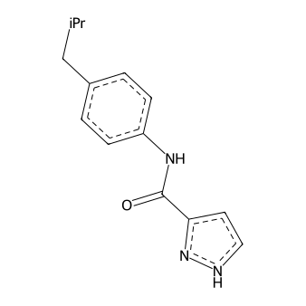 CC(C)Cc1ccc(NC(=O)c2cc[nH]n2)cc1